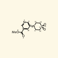 COC(=O)c1cncc(N2CCS(=O)(=O)CC2)c1